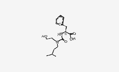 CC(C)CCN(CCO)C(=O)N[C@@H](Cc1ccccc1)C(=O)O